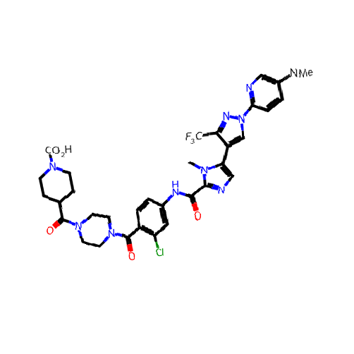 CNc1ccc(-n2cc(-c3cnc(C(=O)Nc4ccc(C(=O)N5CCN(C(=O)C6CCN(C(=O)O)CC6)CC5)c(Cl)c4)n3C)c(C(F)(F)F)n2)nc1